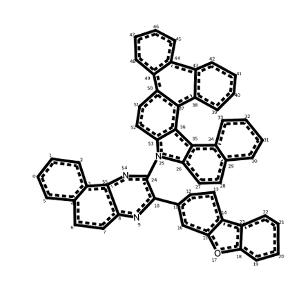 c1ccc2c(c1)ccc1nc(-c3ccc4c(c3)oc3ccccc34)c(-n3c4ccc5ccccc5c4c4c5c6ccccc6c6ccccc6c5ccc43)nc12